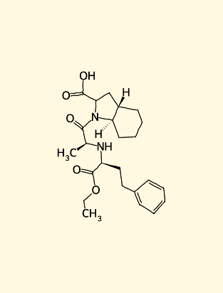 CCOC(=O)[C@H](CCc1ccccc1)N[C@@H](C)C(=O)N1C(C(=O)O)C[C@@H]2CCCC[C@H]21